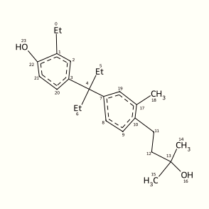 CCc1cc(C(CC)(CC)c2ccc(CCC(C)(C)O)c(C)c2)ccc1O